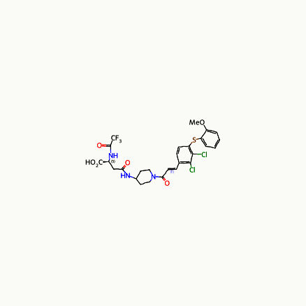 COc1ccccc1Sc1ccc(/C=C/C(=O)N2CCC(NC(=O)C[C@H](NC(=O)C(F)(F)F)C(=O)O)CC2)c(Cl)c1Cl